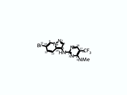 CNc1nc(Nc2cnn3cc(Br)ccc23)ncc1C(F)(F)F